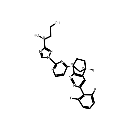 OCC[C@H](O)c1ncn(-c2nccc([C@]34CC[C@H](C3)c3cc(-c5c(F)cccc5F)nnc34)n2)n1